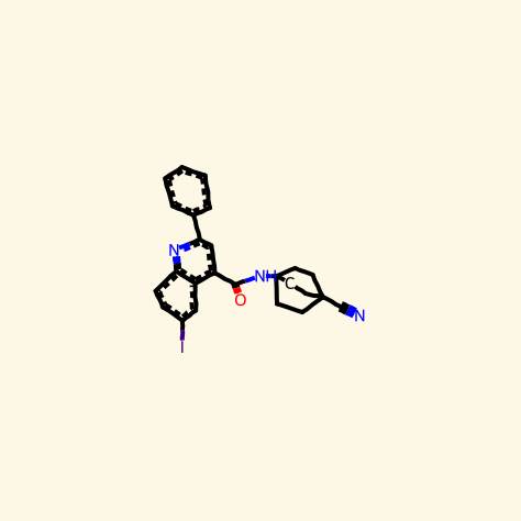 N#CC12CCC(NC(=O)c3cc(-c4ccccc4)nc4ccc(I)cc34)(CC1)CC2